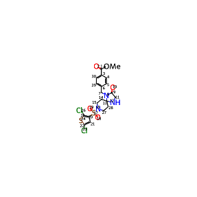 COC(=O)c1ccc(CN2C(=O)CNC23CCN(S(=O)(=O)c2cc(Cl)sc2Cl)CC3)cc1